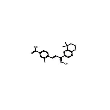 Cc1cc(C(=O)O)ccc1/C=C/C(=N/O)c1ccc2c(c1)C(C)(C)CCS2